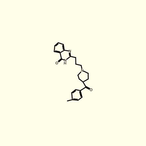 Cc1ccc(C(=O)C2CCN(CCCc3nc4ccccc4c(=O)[nH]3)CC2)cc1